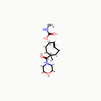 BNC(=O)O[C@@H]1/C=C/CC[C@](C)(C(=O)N2CCOCC2)CC1